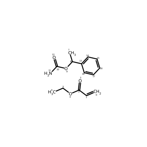 C=CC(=O)OCC.CC(OC(N)=O)c1ccccc1